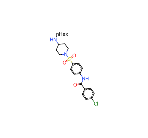 CCCCCCNC1CCN(S(=O)(=O)c2ccc(NC(=O)c3ccc(Cl)cc3)cc2)CC1